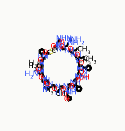 CCCC[C@@H]1NC(=O)[C@H](CCCC)N(C)C(=O)[C@H](Cc2c[nH]c3ccccc23)NC(=O)[C@H](CO)NC(=O)[C@H](Cc2c[nH]c3ccccc23)NC(=O)[C@H](CCNC(=O)c2ccco2)NC(=O)[C@H](CC(C)C)NC(=O)[C@H](Cc2cnc[nH]2)NC(=O)[C@@H]2CCCN2C(=O)[C@H](CC(N)=O)NC(=O)[C@H](C)N(C)C(=O)[C@H](Cc2ccccc2)NC(=O)CSC[C@@H](C(=O)NCC(N)=O)NC(=O)[C@H](CCCNC(=N)N)NC1=O